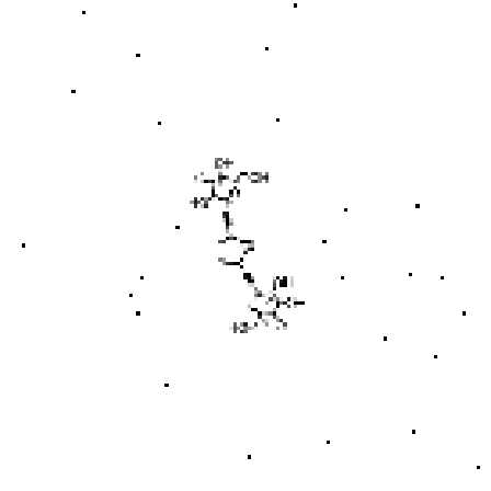 OC[C@H]1O[C@H](C#CC2CCCC(C#C[C@H]3O[C@H](CO)[C@@H](O)[C@H](O)[C@@H]3O)C3CC23)[C@@H](O)[C@@H](O)[C@@H]1O